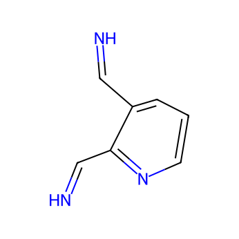 N=Cc1cccnc1C=N